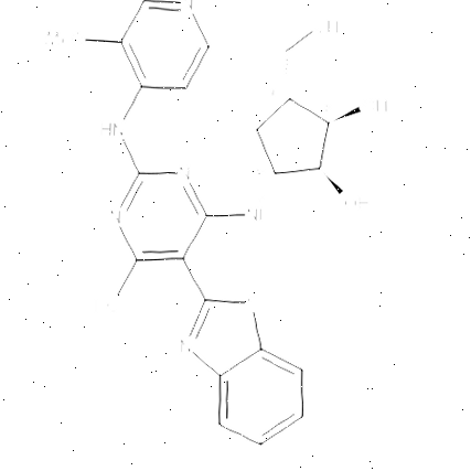 COc1cnccc1Nc1nc(C)c(-c2nc3ccccc3s2)c(N[C@@H]2C[C@H](CO)[C@@H](O)[C@H]2O)n1